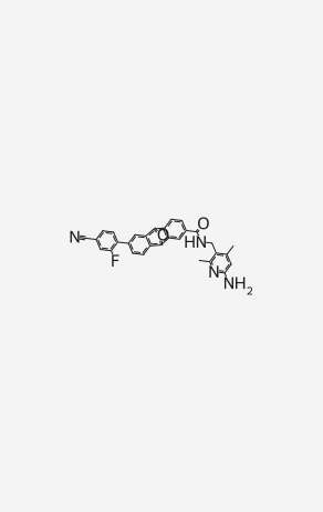 Cc1cc(N)nc(C)c1CNC(=O)c1ccc2c(c1)c1oc2c2cc(-c3ccc(C#N)cc3F)ccc21